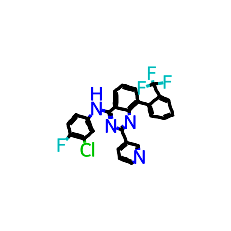 Fc1ccc(Nc2nc(-c3cccnc3)nc3c(-c4ccccc4C(F)(F)F)cccc23)cc1Cl